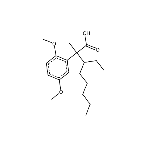 CCCCCC(CC)C(C)(C(=O)O)c1cc(OC)ccc1OC